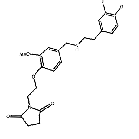 COc1cc(CNCCc2ccc(Cl)c(F)c2)ccc1OCCN1C(=O)CCC1=O